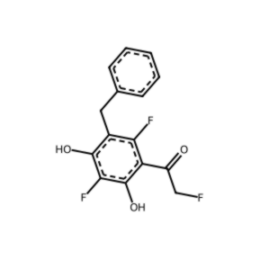 O=C(CF)c1c(O)c(F)c(O)c(Cc2ccccc2)c1F